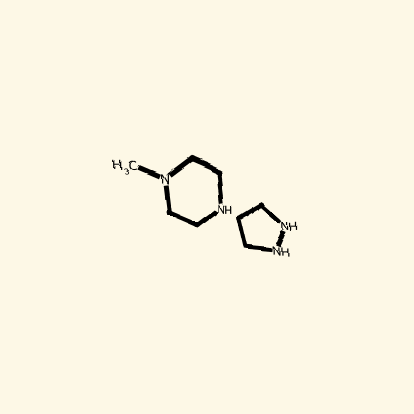 C1CNNC1.CN1CCNCC1